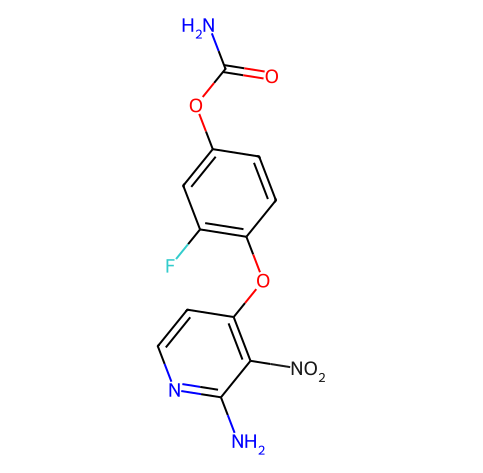 NC(=O)Oc1ccc(Oc2ccnc(N)c2[N+](=O)[O-])c(F)c1